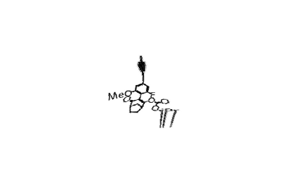 CC#Cc1cc(F)c(C2=C(OC(=O)OC(C)C)C3CCC(C3)C2=O)c(OC)c1